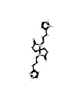 O=C1CCC2(CCC(=O)N2CCCc2ccon2)N1CCCc1ccon1